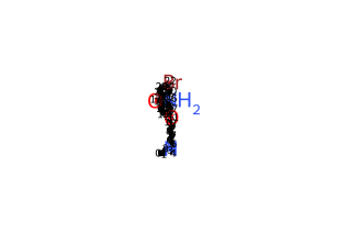 C=CCN(C)CCCCCCOc1ccc(C(=O)c2ccc(Br)cc2)c(N)c1